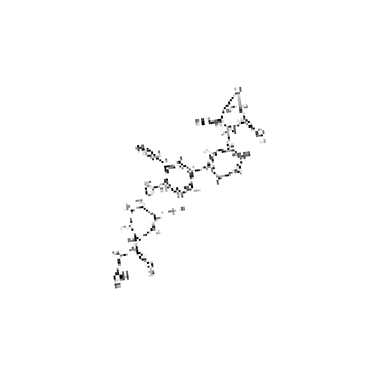 N#Cc1cc(-c2ccnc(N3C(=O)C4CC4C3=O)c2)ccc1O[C@H]1CCN(C(=O)CO)C[C@H]1F